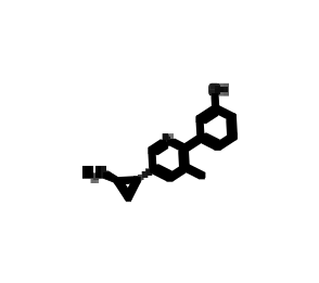 Cc1cc([C@@H]2C[C@H]2N)cnc1-c1cccc(O)c1